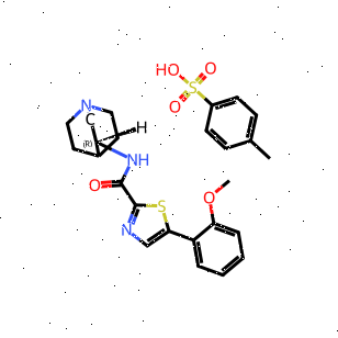 COc1ccccc1-c1cnc(C(=O)N[C@H]2CN3CCC2CC3)s1.Cc1ccc(S(=O)(=O)O)cc1